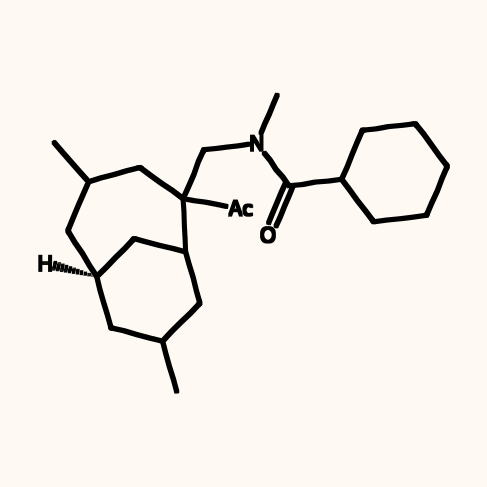 CC(=O)C1(CN(C)C(=O)C2CCCCC2)CC(C)C[C@@H]2CC(C)CC1C2